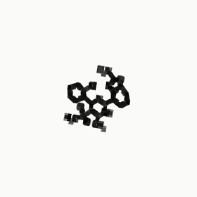 CC1=C(S(C)(=O)=O)C(c2ccccc2Cl)N=C(c2cccc3oc(N)nc23)N1